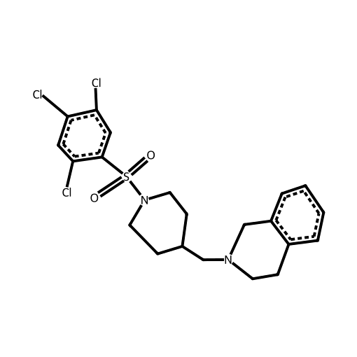 O=S(=O)(c1cc(Cl)c(Cl)cc1Cl)N1CCC(CN2CCc3ccccc3C2)CC1